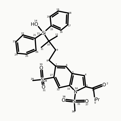 CC(C)C(=O)c1cc2cc(CCC(C)(C)[Si](O)(c3ccccc3)c3ccccc3)c(S(C)(=O)=O)cc2n1S(C)(=O)=O